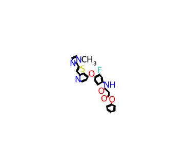 Cn1ccnc1-c1cc2nccc(Oc3ccc(NC(=O)CC(=O)Oc4ccccc4)cc3F)c2s1